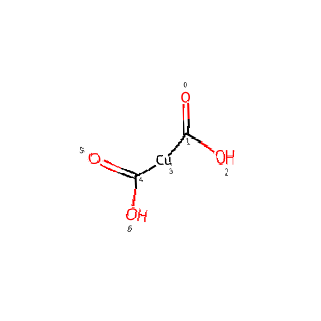 O=[C](O)[Cu][C](=O)O